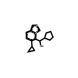 OC(c1c(C2CC2)ccc2cncn12)C1CCCC1